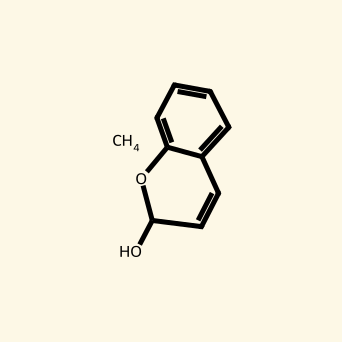 C.OC1C=Cc2ccccc2O1